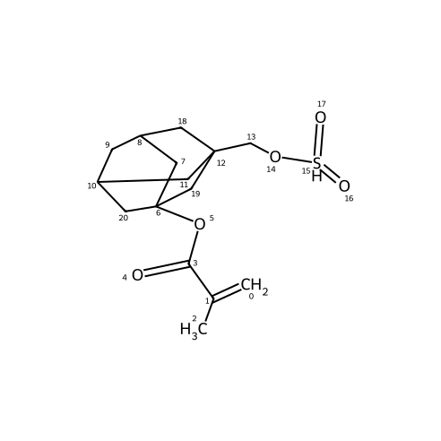 C=C(C)C(=O)OC12CC3CC(CC(CO[SH](=O)=O)(C3)C1)C2